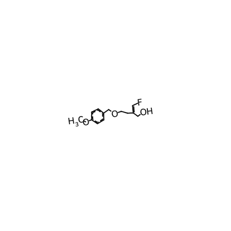 COc1ccc(COCCC(=CF)CO)cc1